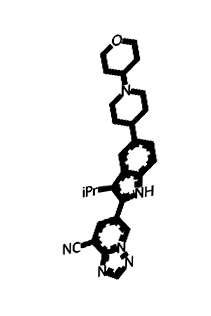 CC(C)c1c(-c2cc(C#N)c3ncnn3c2)[nH]c2ccc(C3CCN(C4CCOCC4)CC3)cc12